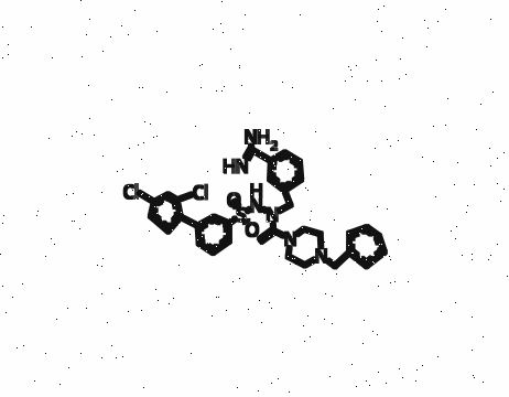 C=C(N1CCN(Cc2ccccc2)CC1)N(Cc1cccc(C(=N)N)c1)NS(=O)(=O)c1cccc(-c2ccc(Cl)cc2Cl)c1